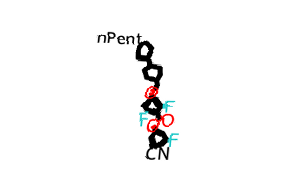 CCCCCC1CCC(C2CCC(COc3cc(F)c(C(=O)Oc4ccc(C#N)c(F)c4)c(F)c3)CC2)CC1